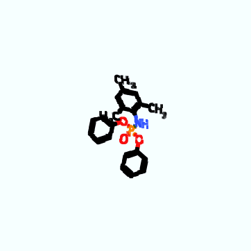 Cc1cc(C)c(NP(=O)(Oc2ccccc2)Oc2ccccc2)c(C)c1